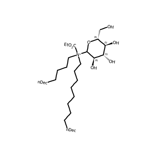 CCCCCCCCCCCCCCCCCC[N+](CCCCCCCCCCCCCC)(C(=O)OCC)C1O[C@H](CO)[C@@H](O)[C@H](O)[C@H]1O